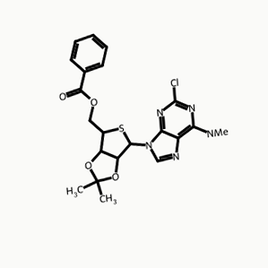 CNc1nc(Cl)nc2c1ncn2C1SC(COC(=O)c2ccccc2)C2OC(C)(C)OC21